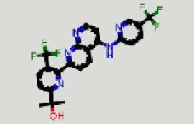 CC(C)(O)c1ccc(C(F)(F)F)c(-c2ccc3c(Nc4ccc(C(F)(F)F)cn4)ccnc3n2)n1